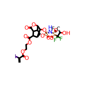 C=C(I)C(=O)OCCOC(=O)C1C2CC3C(OC(=O)C31)C2OS(=O)(=O)NS(=O)(=O)C(F)(F)C(O)C(F)(F)F